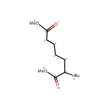 CCCCC(CCCCC(=O)OC)C(=O)OC